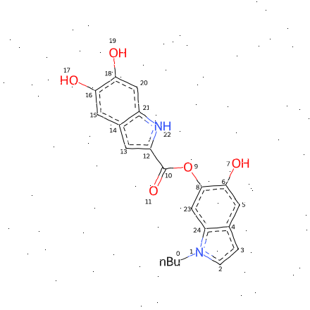 CCCCn1ccc2cc(O)c(OC(=O)c3cc4cc(O)c(O)cc4[nH]3)cc21